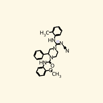 COc1ccccc1NC(=O)N1CCN(/C(=N\C#N)Nc2ccccc2C)CC1c1ccccc1